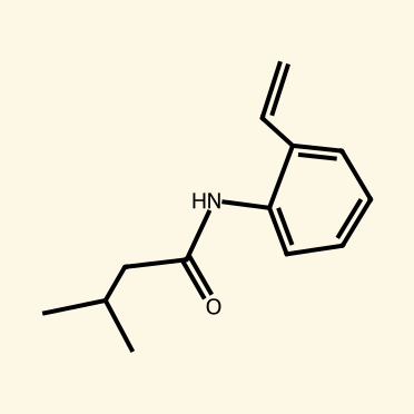 C=Cc1ccccc1NC(=O)CC(C)C